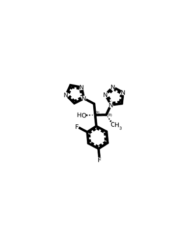 C[C@@H](n1cnnn1)[C@](O)(Cn1cncn1)c1ccc(F)cc1F